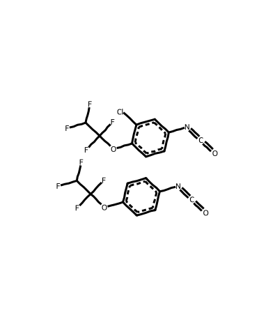 O=C=Nc1ccc(OC(F)(F)C(F)F)c(Cl)c1.O=C=Nc1ccc(OC(F)(F)C(F)F)cc1